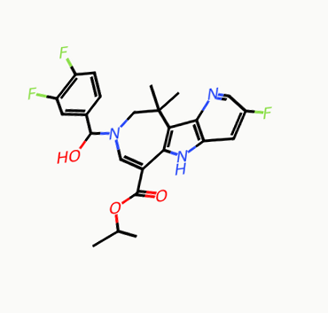 CC(C)OC(=O)C1=CN(C(O)c2ccc(F)c(F)c2)CC(C)(C)c2c1[nH]c1cc(F)cnc21